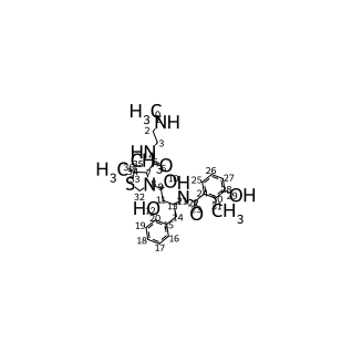 CNCCNC(=O)[C@H]1N(C(=O)[C@@H](O)[C@H](Cc2ccccc2)NC(=O)c2cccc(O)c2C)CSC1(C)C